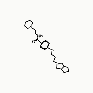 O=C(NCCN1CCCCC1)c1ccc(OCCCN2CC3CCCC3C2)cc1